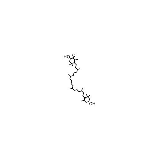 CC1=C(CCC(C)CCCC(C)CCCCC(C)CCCC(C)CCC2=C(C)C(=O)[C@@H](O)CC2(C)C)C(C)(C)C[C@H](O)C1